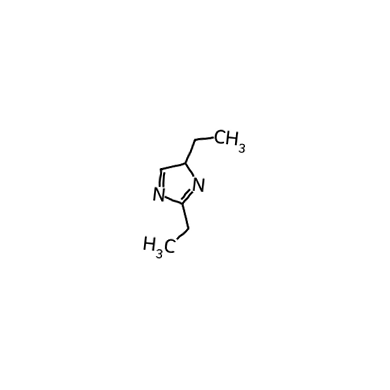 CCC1=NC(CC)C=N1